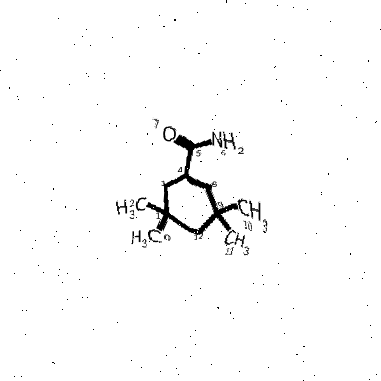 CC1(C)CC(C(N)=O)CC(C)(C)C1